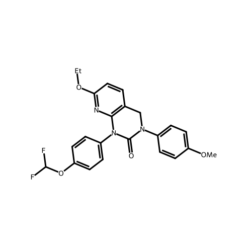 CCOc1ccc2c(n1)N(c1ccc(OC(F)F)cc1)C(=O)N(c1ccc(OC)cc1)C2